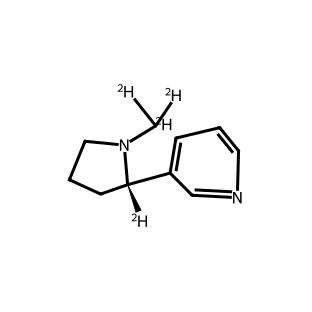 [2H]C([2H])([2H])N1CCC[C@@]1([2H])c1cccnc1